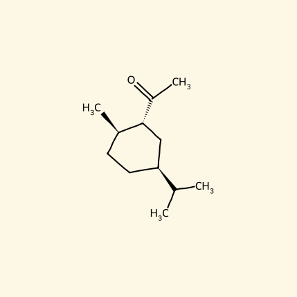 CC(=O)[C@@H]1C[C@@H](C(C)C)CC[C@H]1C